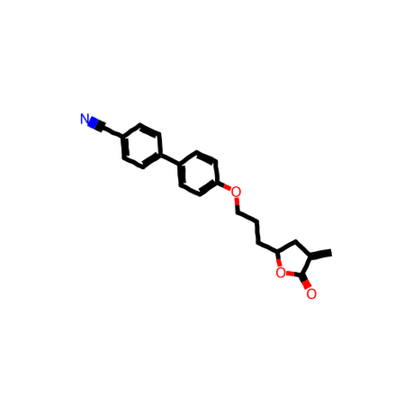 C=C1CC(CCCOc2ccc(-c3ccc(C#N)cc3)cc2)OC1=O